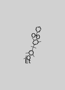 CCC(C)(C)Oc1c(C)cc(C(C)(C)c2cc(C)c(OC(=O)c3ccccc3)c(C)c2)cc1C